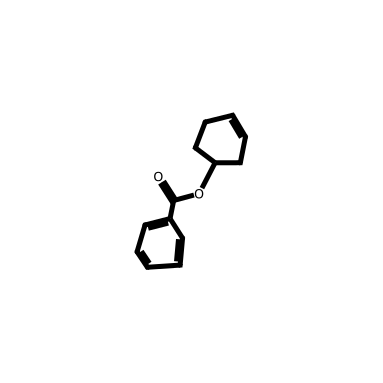 O=C(OC1CC=CCC1)c1ccccc1